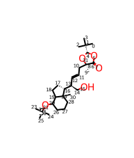 CC(C)(C)[C@@H]1OC(=O)[C@@](C)(CC=C[C@@H](CO)[C@H]2CCC3C(O[Si](C)(C)C)CCC[C@]32C)O1